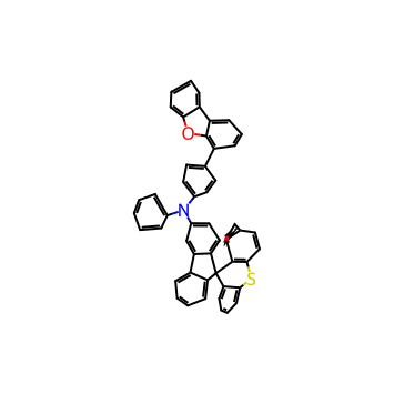 c1ccc(N(c2ccc(-c3cccc4c3oc3ccccc34)cc2)c2ccc3c(c2)-c2ccccc2C32c3ccccc3Sc3ccc4ccccc4c32)cc1